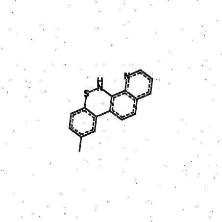 Cc1ccc2c(c1)-c1ccc3cccnc3c1NS2